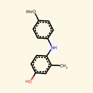 COc1ccc(Nc2ccc(O)cc2C)cc1